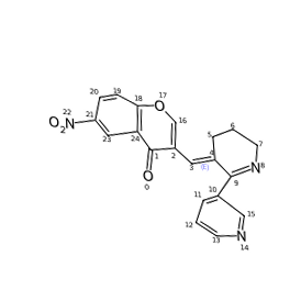 O=c1c(/C=C2\CCCN=C2c2cccnc2)coc2ccc([N+](=O)[O-])cc12